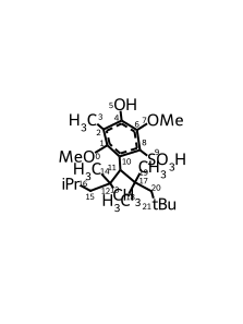 COc1c(C)c(O)c(OC)c(S(=O)(=O)O)c1C(C(C)(C)CC(C)C)C(C)(C)CC(C)(C)C